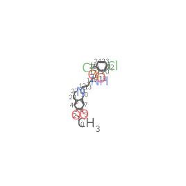 CC1Oc2cc3c(cc2O1)CN(CCCNS(=O)(=O)c1cc(Cl)ccc1Cl)CC3